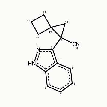 N#CC1(c2n[nH]c3ccccc23)CC12CCC2